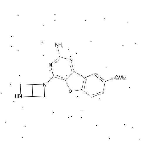 COc1ccc2oc3c(N4CC5NCC54)nc(N)nc3c2c1